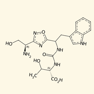 CC(O)[C@H](NC(=O)NC(Cc1c[nH]c2ccccc12)c1nc([C@@H](N)CO)no1)C(=O)O